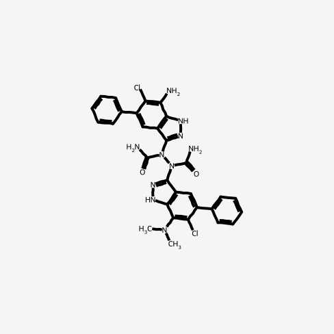 CN(C)c1c(Cl)c(-c2ccccc2)cc2c(N(C(N)=O)N(C(N)=O)c3n[nH]c4c(N)c(Cl)c(-c5ccccc5)cc34)n[nH]c12